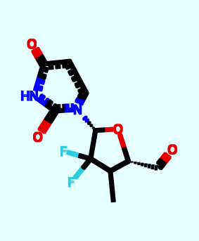 CC1[C@@H](C=O)O[C@@H](n2ccc(=O)[nH]c2=O)C1(F)F